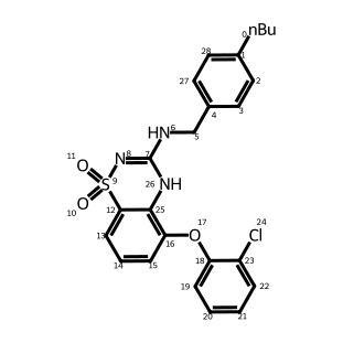 CCCCc1ccc(CNC2=NS(=O)(=O)c3cccc(Oc4ccccc4Cl)c3N2)cc1